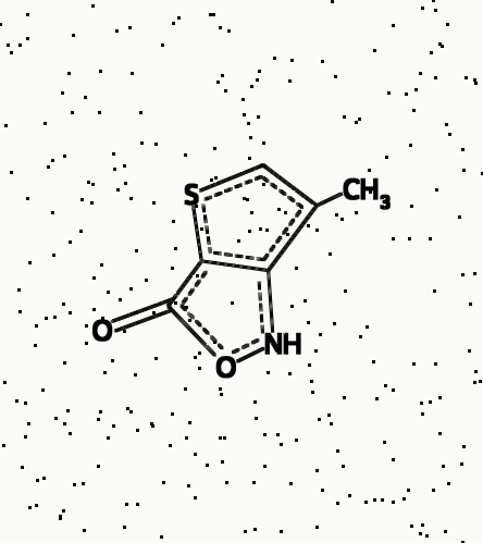 Cc1csc2c(=O)o[nH]c12